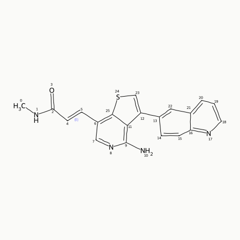 CNC(=O)/C=C/c1cnc(N)c2c(-c3ccc4ncccc4c3)csc12